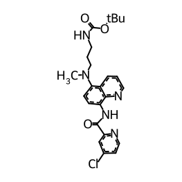 CN(CCCNC(=O)OC(C)(C)C)c1ccc(NC(=O)c2cc(Cl)ccn2)c2ncccc12